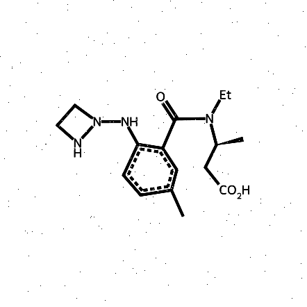 CCN(C(=O)c1cc(C)ccc1NN1CCN1)[C@@H](C)CC(=O)O